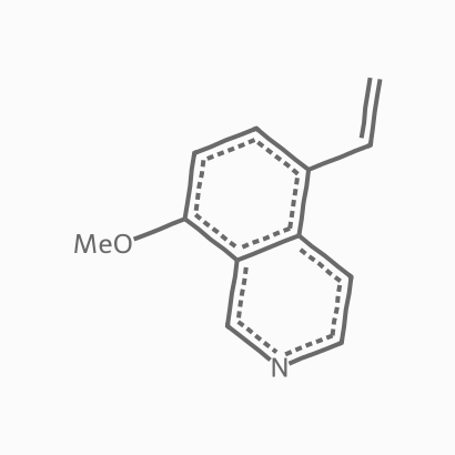 C=Cc1ccc(OC)c2cnccc12